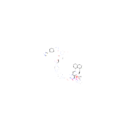 Cc1ncsc1-c1ccc([C@H](C)NC(=O)[C@@H]2C[C@@H](O)CN2C(=O)[C@@H](c2cc(N3CCN(CC4CCN(CCOc5nc(N6CC7CCC(C6)N7C(=O)OC(C)(C)C)c6cnc(-c7cc(O)cc8ccc(F)c(C#C[Si](C(C)C)(C(C)C)C(C)C)c78)c(F)c6n5)CC4)CC3)no2)C(C)C)cc1